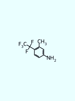 Cc1cc(N)ccc1C(F)(F)C(F)(F)F